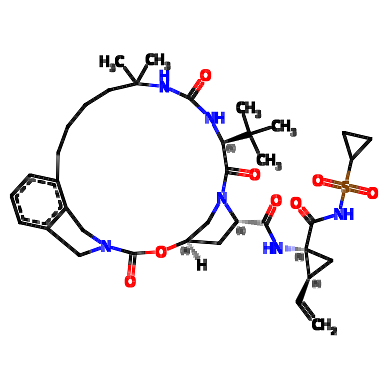 C=C[C@@H]1C[C@]1(NC(=O)[C@@H]1C[C@@H]2CN1C(=O)[C@H](C(C)(C)C)NC(=O)NC(C)(C)CCCCc1cccc3c1CN(C3)C(=O)O2)C(=O)NS(=O)(=O)C1CC1